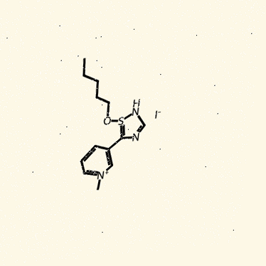 CCCCCOS1=C(c2ccc[n+](C)c2)N=CN1.[I-]